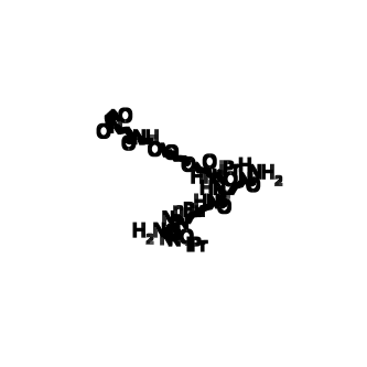 CCCCc1nc2c(N)nnc(OC(C)C)c2n1CCCCCNC(=O)[C@H](CCCNC(N)=O)NC(=O)[C@@H](NC(=O)CCOCCOCCOCCNC(=O)CCN1C(=O)C=CC1=O)C(C)C